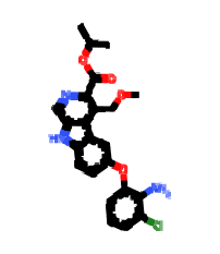 COCc1c(C(=O)OC(C)C)ncc2[nH]c3ccc(Oc4cccc(Cl)c4N)cc3c12